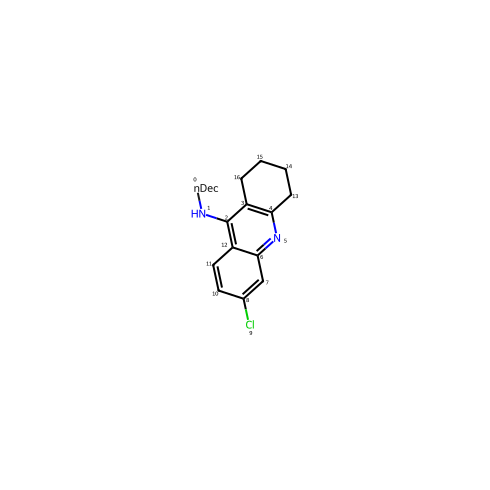 [CH2]CCCCCCCCCNc1c2c(nc3cc(Cl)ccc13)CCCC2